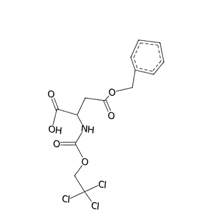 O=C(CC(NC(=O)OCC(Cl)(Cl)Cl)C(=O)O)OCc1ccccc1